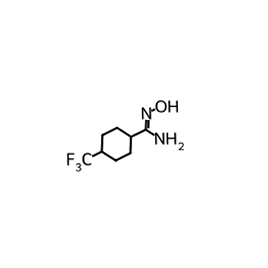 N/C(=N\O)C1CCC(C(F)(F)F)CC1